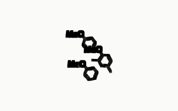 COc1ccc(C)cc1C.COc1ccccc1.COc1ccccc1